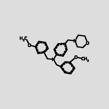 COc1cccc(CN(Cc2cccc(OC)c2)c2ccc(CN3CCOCC3)cc2)c1